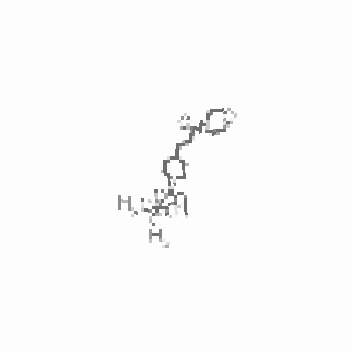 CC(C)(C)OC(=O)N1CCC(CCC(=O)N2CCOCC2)CC1